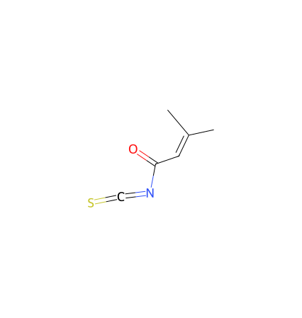 CC(C)=CC(=O)N=C=S